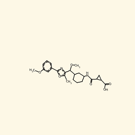 COc1cccc(-c2nc(C(OC)C3CCCC(NC(=O)C4CC4C(=O)O)C3)c(C)o2)c1